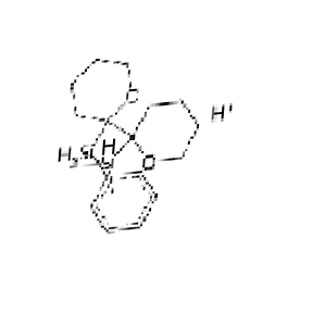 C[SiH](C)C1(C2([SiH2]c3ccccc3)CCCCO2)CCCCO1.[H+]